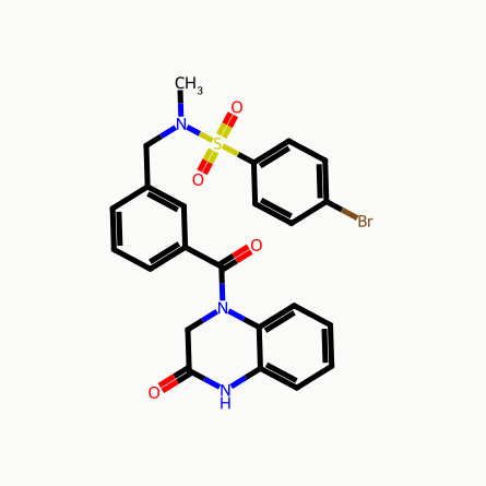 CN(Cc1cccc(C(=O)N2CC(=O)Nc3ccccc32)c1)S(=O)(=O)c1ccc(Br)cc1